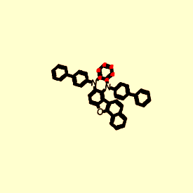 c1ccc(-c2ccc(N(c3ccccc3)c3ccc4oc5c6ccccc6ccc5c4c3N(c3ccccc3)c3ccc(-c4ccccc4)cc3)cc2)cc1